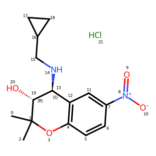 CC1(C)Oc2ccc([N+](=O)[O-])cc2[C@H](NCC2CC2)[C@H]1O.Cl